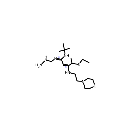 CCSC(C)/C(=C\C(=N/CNN)NC(C)(C)C)NCCN1CCOCC1